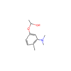 Cc1ccc(OC(C)O)cc1N(C)C